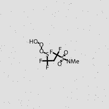 CNS(=O)(=O)C(F)(F)CC(F)(F)SOOO